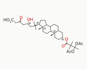 CC(=O)OC(C)(OC(C)=O)C(C)(C)C(=O)O[C@@H]1CC[C@@]2(C)C(CCC3C2CC[C@@]2(C)C3CC[C@@H]2C(C)(C)C[C@@H](O)CC(=O)CC(=O)O)C1